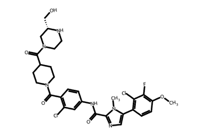 COc1ccc(-c2cnc(C(=O)Nc3ccc(C(=O)N4CCC(C(=O)N5CCN[C@@H](CO)C5)CC4)c(Cl)c3)n2C)c(Cl)c1F